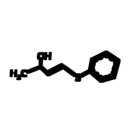 CC(O)/C=C/Sc1ccccc1